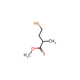 COC(=S)C(C)CCS